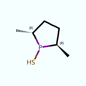 C[C@@H]1CC[C@@H](C)P1S